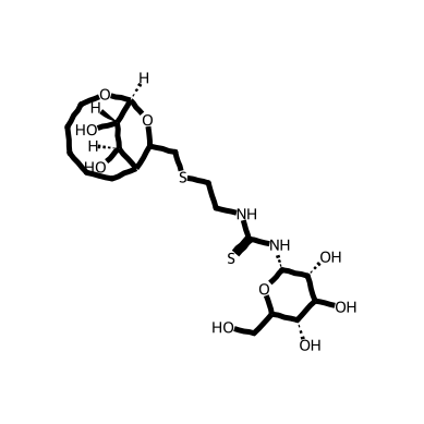 OCC1O[C@H](NC(=S)NCCSCC2O[C@@H]3OCCCCCC2[C@@H](O)[C@@H]3O)[C@H](O)C(O)[C@@H]1O